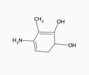 CC1=C(O)C(O)CC=C1N